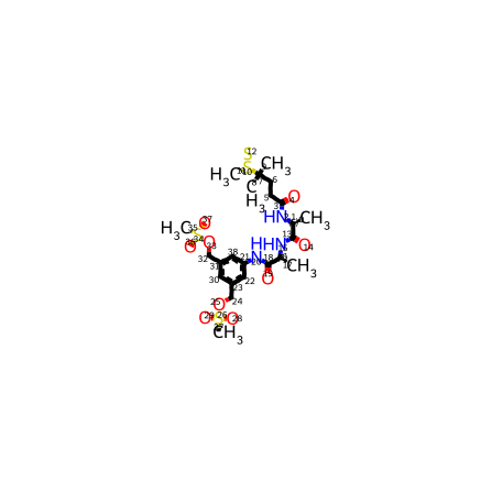 C[C@H](NC(=O)CCC(C)(C)S(C)=S)C(=O)N[C@@H](C)C(=O)Nc1cc(COS(C)(=O)=O)cc(COS(C)(=O)=O)c1